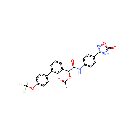 CC(=O)OC(C(=O)Nc1ccc(-c2noc(=O)[nH]2)cc1)c1cccc(-c2ccc(OC(F)(F)F)cc2)c1